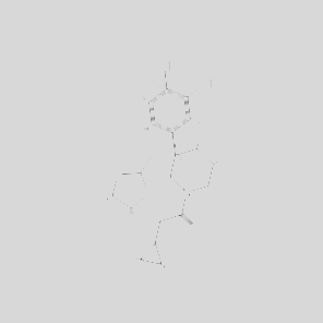 O=C(CC1CC1)N1CCC[C@](CC2OCCO2)(c2ccc(Cl)c(Cl)c2)C1